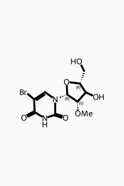 CO[C@H]1C(O)[C@@H](CO)O[C@H]1n1cc(Br)c(=O)[nH]c1=O